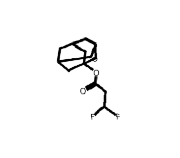 O=C(CC(F)F)OC12CC3CC(C1)C(=O)C(C3)C2